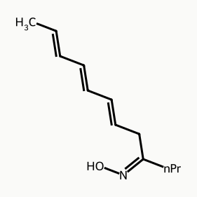 CC=CC=CC=CCC(CCC)=NO